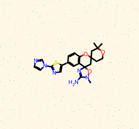 CN1OC2(CC3(CCOC(C)(C)C3)Oc3ccc(-c4cnc(-n5ccnc5)s4)cc32)N=C1N